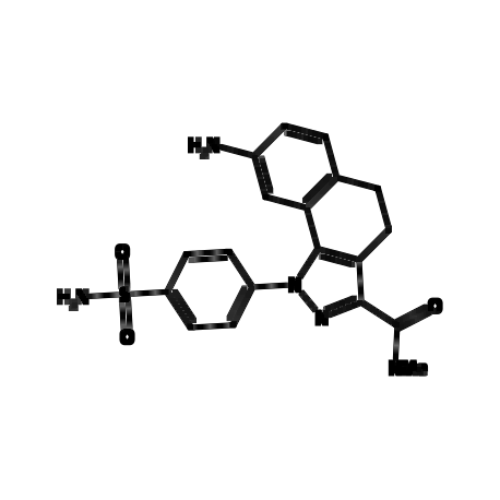 CNC(=O)c1nn(-c2ccc(S(N)(=O)=O)cc2)c2c1CCc1ccc(N)cc1-2